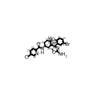 NC1=N[C@]2(CO1)c1cc(Br)ccc1O[C@H]1CC[C@@H](NC(=O)c3ccc(Cl)cn3)C[C@@H]12